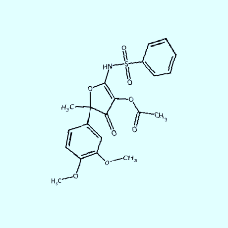 COc1ccc(C2(C)OC(NS(=O)(=O)c3ccccc3)=C(OC(C)=O)C2=O)cc1OC